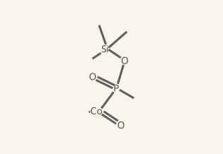 [CH3][Co](=[O])[P](C)(=O)O[Si](C)(C)C